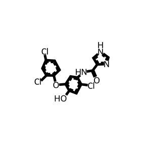 O=C(Nc1cc(Oc2ccc(Cl)cc2Cl)c(O)cc1Cl)c1c[nH]cn1